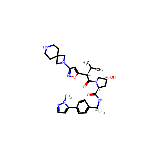 CC(C)[C@@H](C(=O)N1C[C@H](O)C[C@H]1C(=O)N[C@@H](C)c1ccc(-c2ccnn2C)cc1)c1cc(N2CC3(CCNCC3)C2)no1